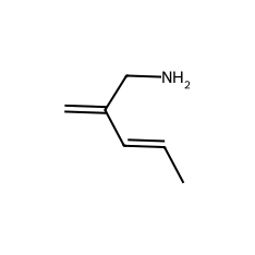 C=C(C=CC)CN